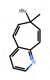 CC(C)(C)C1(C)C=Cc2cccnc2C=C1